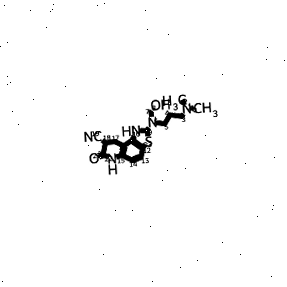 CN(C)CCCN(CO)C1Nc2c(ccc3c2CC(C#N)C(=O)N3)S1